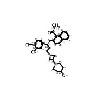 CNC(=O)c1c(C[C@@H](CCN2CC(N3CCC(O)CC3)C2)c2ccc(Cl)c(Cl)c2)ccc2ccccc12